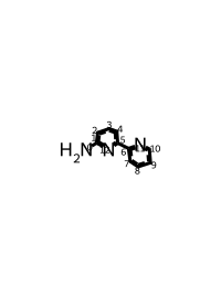 Nc1cccc(-c2ccccn2)n1